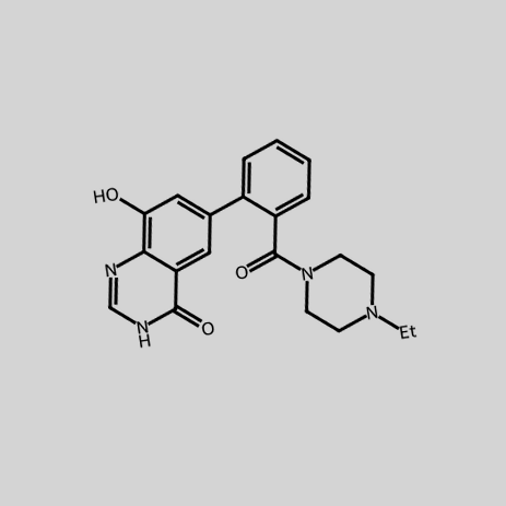 CCN1CCN(C(=O)c2ccccc2-c2cc(O)c3nc[nH]c(=O)c3c2)CC1